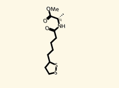 COC(=O)[C@H](C)NC(=O)CCCCC1CCSS1